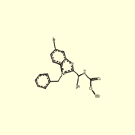 CC(C)C(NC(=O)OC(C)(C)C)c1nc2cc(Br)ccc2n1Cc1ccccc1